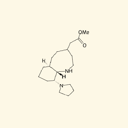 COC(=O)CC1CCN[C@H]2[C@@H](CCC[C@H]2N2CCCC2)CC1